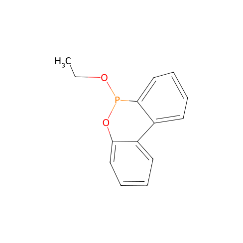 CCOP1Oc2ccccc2-c2ccccc21